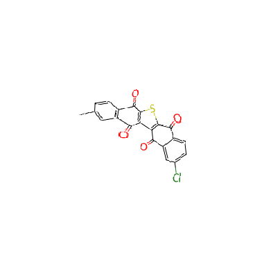 Cc1ccc2c(=O)c3sc4c(=O)c5ccc(Cl)cc5c(=O)c4c3c(=O)c2c1